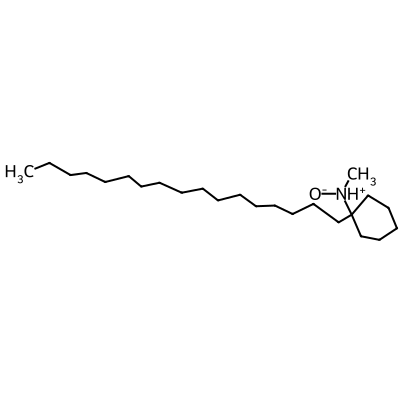 CCCCCCCCCCCCCCCCCC1([NH+](C)[O-])CCCCC1